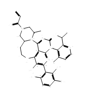 C=CC(=O)N1CC(C)N2c3nc(=O)n(-c4c(C)ccnc4C(C)C)c4nc(-c5c(O)ccc(F)c5F)c(F)c(c34)OCCC2C1